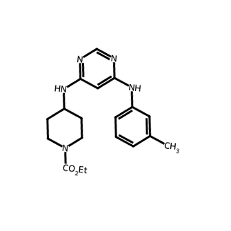 CCOC(=O)N1CCC(Nc2cc(Nc3cccc(C)c3)ncn2)CC1